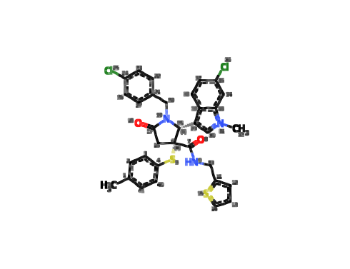 Cc1ccc(S[C@]2(C(=O)NCc3cccs3)CC(=O)N(Cc3ccc(Cl)cc3)[C@@H]2c2cn(C)c3cc(Cl)ccc23)cc1